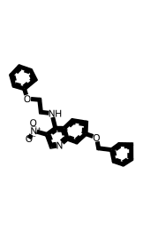 O=[N+]([O-])c1cnc2cc(OCc3ccccc3)ccc2c1NCCOc1ccccc1